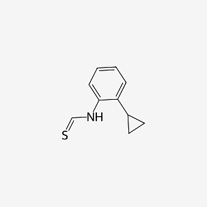 S=CNc1ccccc1C1CC1